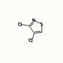 Clc1csnc1Cl